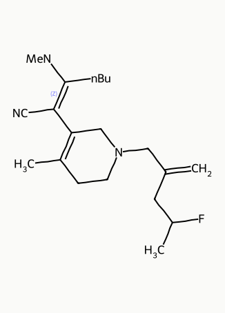 C=C(CC(C)F)CN1CCC(C)=C(/C(C#N)=C(\CCCC)NC)C1